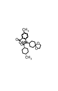 COC(=O)c1cc(C)ccc1N(C(=O)[C@H]1CC[C@H](C)CC1)C1CCC2(CC1)OCCO2